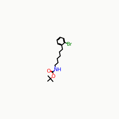 CC(C)(C)OC(=O)NCCCCCCc1ccccc1Br